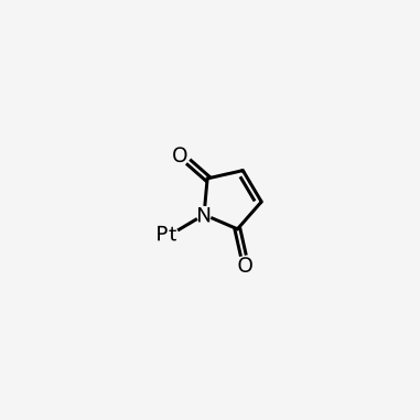 O=C1C=CC(=O)[N]1[Pt]